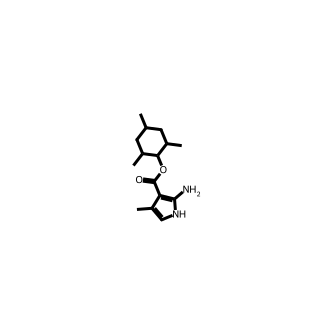 Cc1c[nH]c(N)c1C(=O)OC1C(C)CC(C)CC1C